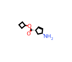 N[C@H]1C=C[C@@H](C(=O)OC2CCC2)C1